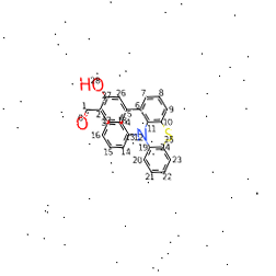 O=Cc1ccc(-c2cccc3c2N(c2ccccc2)c2ccccc2S3)cc1O